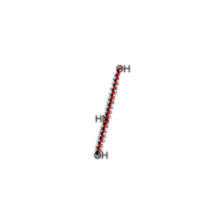 OCCCCCCCCCCCCCCCCCCCCNCCCCCCCCCCCCCCO